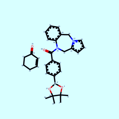 CC1(C)OB(c2ccc(C(=O)N3Cc4cccn4Cc4ccccc43)cc2)OC1(C)C.O=C1C=CCCC1